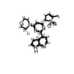 CC1=CC[C@@H](c2cc(N3CCOC[C@H]3C)nc(-c3ccnc4[nH]ccc34)n2)S1(=O)=O